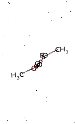 CCCCCCCCCCOc1ccc(-c2ccc(C(=O)Oc3ccc(OCCCCCCCCCC)c(F)c3F)cc2)cc1F